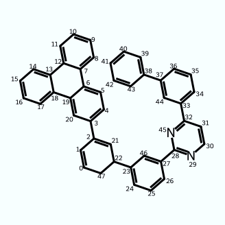 C1=CC(c2ccc3c4ccccc4c4ccccc4c3c2)=CC(c2cccc(-c3nccc(-c4cccc(-c5ccccc5)c4)n3)c2)C1